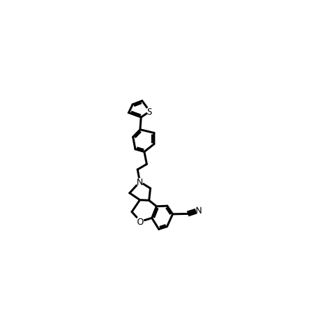 N#Cc1ccc2c(c1)C1CN(CCc3ccc(-c4cccs4)cc3)CC1CO2